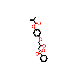 C=C(C)C(=O)Oc1ccc(OCC(=O)CS(=O)(=O)c2ccccc2)cc1